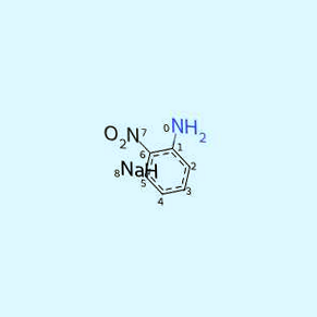 Nc1ccccc1[N+](=O)[O-].[NaH]